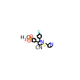 CS(=O)(=O)c1ccc(-c2cc(C#N)c(SCc3cccnc3)nc2-c2ccc(F)cc2)cc1